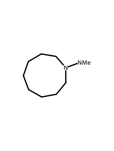 CNN1CCCCCCCC1